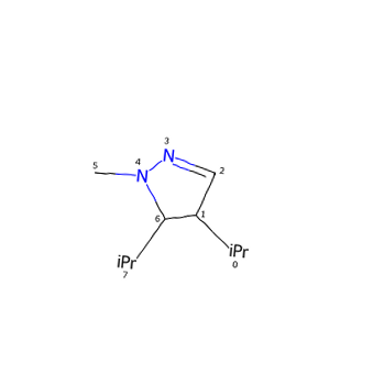 CC(C)C1C=NN(C)C1C(C)C